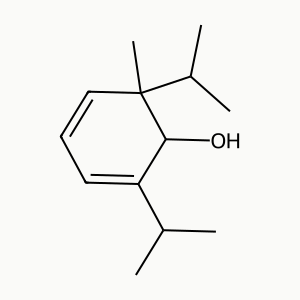 CC(C)C1=CC=CC(C)(C(C)C)C1O